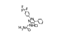 NC(=O)CNc1nc(-c2ccc(C(F)(F)F)cc2)nc(-c2ccccc2)c1Cl